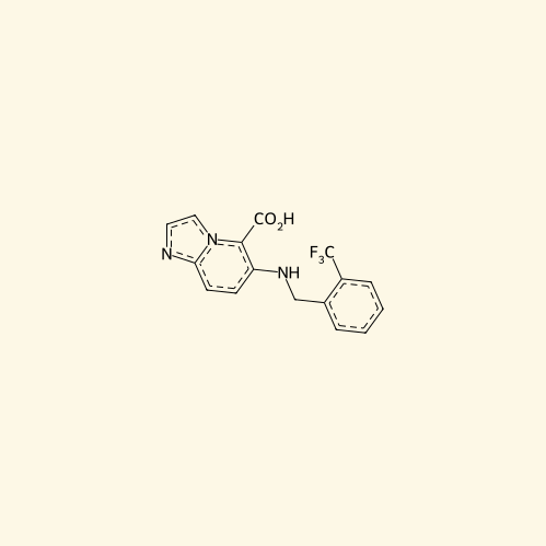 O=C(O)c1c(NCc2ccccc2C(F)(F)F)ccc2nccn12